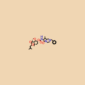 CO[C@@H]1[C@H](OC(=O)N[C@H]2C(=O)N3CCN(Cc4ccccc4)CC3C2C)CC[C@]2(CO2)[C@H]1[C@@]1(C)O[C@@H]1CC=C(C)C